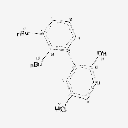 CCCCc1cccc(-c2cc(O)ccc2O)c1CCCC